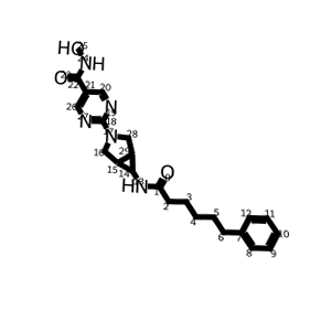 O=C(CCCCCc1ccccc1)NC1C2CN(c3ncc(C(=O)NO)cn3)CC21